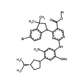 COc1cc(N2CC[C@@H](N(C)C)C2)c([N+](=O)[O-])cc1Nc1ncc(C(=O)OC(C)C)c(N2CC(C)(C)c3nc(Br)ccc32)n1